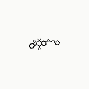 CC1(C)c2cc(OCCN3CCCC3)ccc2C(=O)c2c1oc1ccccc21